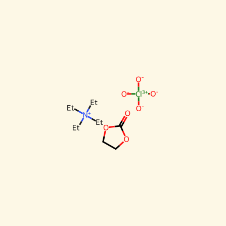 CC[N+](CC)(CC)CC.O=C1OCCO1.[O-][Cl+3]([O-])([O-])[O-]